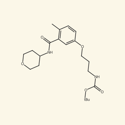 Cc1ccc(OCCCNC(=O)OC(C)(C)C)cc1C(=O)NC1CCOCC1